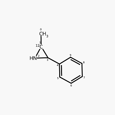 C[12CH]1NC1c1ccccc1